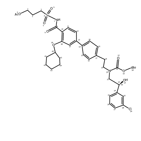 CC(=O)OCCCS(=O)(=O)NC(=O)c1ccc(-c2ccc(CCN(C[C@@H](O)c3cccc(Cl)c3)C(=O)OC(C)(C)C)cc2)cc1OC1CCCCC1